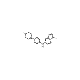 CC1CCN(c2ccc(Nc3ccc4c(c3)nnn4C)cc2)CC1